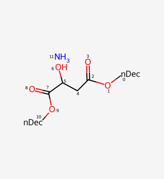 CCCCCCCCCCOC(=O)CC(O)C(=O)OCCCCCCCCCC.N